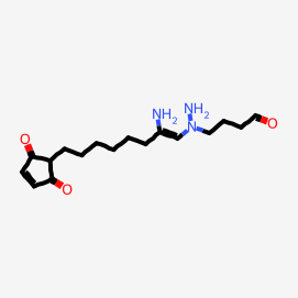 N/C(=C\N(N)CCCC=O)CCCCCCC1C(=O)C=CC1=O